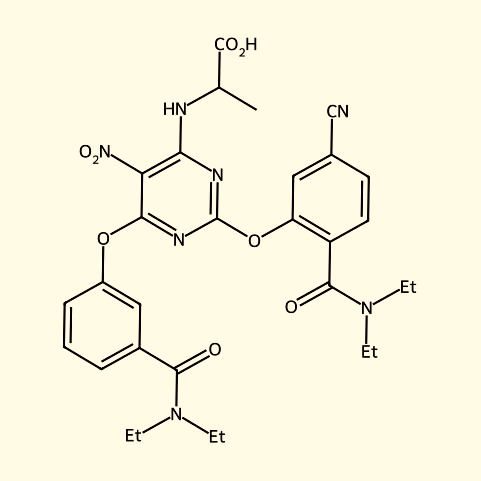 CCN(CC)C(=O)c1cccc(Oc2nc(Oc3cc(C#N)ccc3C(=O)N(CC)CC)nc(NC(C)C(=O)O)c2[N+](=O)[O-])c1